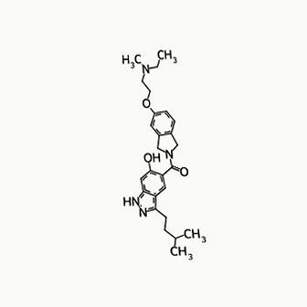 CCN(C)CCOc1ccc2c(c1)CN(C(=O)c1cc3c(CCC(C)C)n[nH]c3cc1O)C2